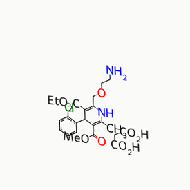 CCOC(=O)C1=C(COCCN)NC(C)=C(C(=O)OC)C1c1ccccc1Cl.O=C(O)CC(=O)O